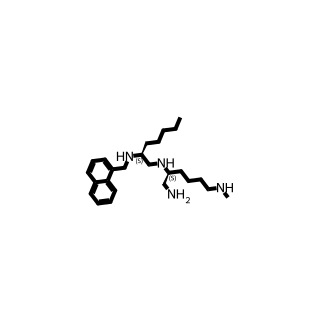 CCCCC[C@@H](CN[C@H](CN)CCCCNC)NCc1cccc2ccccc12